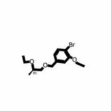 CCOc1cc(COC[C@@H](C)OCC)ccc1Br